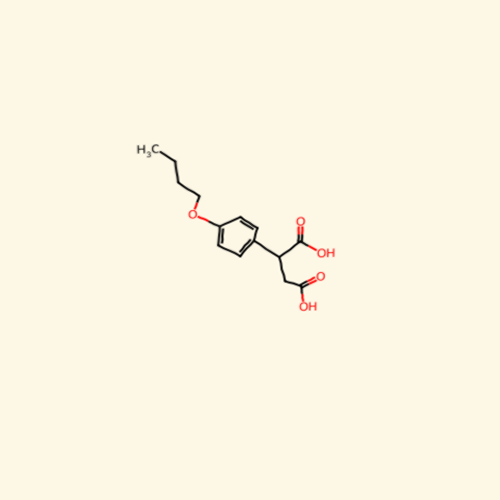 CCCCOc1ccc(C(CC(=O)O)C(=O)O)cc1